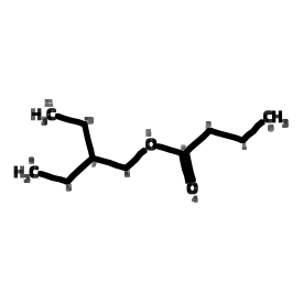 CCCC(=O)OCC(CC)CC